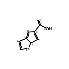 O=C(O)C1=CC2SC=CC2=C1